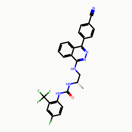 C[C@@H](CNc1nnc(-c2ccc(C#N)cc2)c2ccccc12)NC(=O)Nc1ccc(F)cc1C(F)(F)F